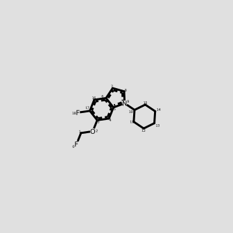 FCOc1cc2c(ccn2C2CCCCC2)cc1F